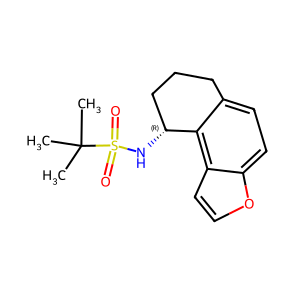 CC(C)(C)S(=O)(=O)N[C@@H]1CCCc2ccc3occc3c21